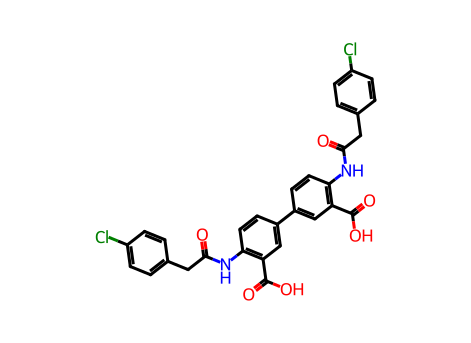 O=C(Cc1ccc(Cl)cc1)Nc1ccc(-c2ccc(NC(=O)Cc3ccc(Cl)cc3)c(C(=O)O)c2)cc1C(=O)O